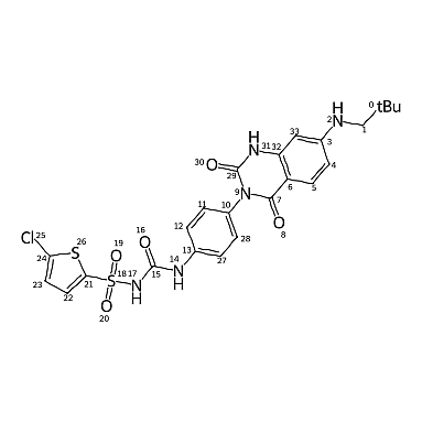 CC(C)(C)CNc1ccc2c(=O)n(-c3ccc(NC(=O)NS(=O)(=O)c4ccc(Cl)s4)cc3)c(=O)[nH]c2c1